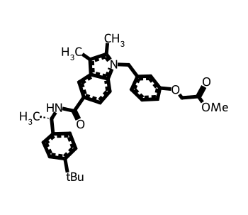 COC(=O)COc1cccc(Cn2c(C)c(C)c3cc(C(=O)N[C@@H](C)c4ccc(C(C)(C)C)cc4)ccc32)c1